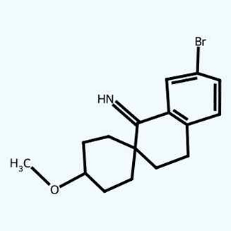 COC1CCC2(CCc3ccc(Br)cc3C2=N)CC1